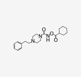 O=C(ONC(=O)N1CCN(CCc2ccccc2)CC1)C1CCCCC1